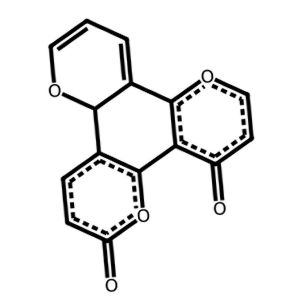 O=c1ccc2c(o1)-c1c(occc1=O)C1=CC=COC12